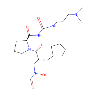 CN(C)CCCNC(=O)NC(=O)[C@@H]1CCCN1C(=O)[C@H](CC1CCCC1)CN(O)C=O